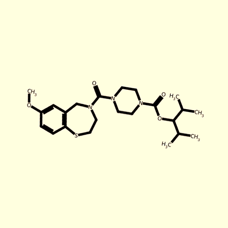 COc1ccc2c(c1)CN(C(=O)N1CCN(C(=O)OC(C(C)C)C(C)C)CC1)CCS2